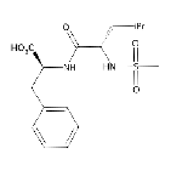 CC(C)C[C@H](NS(C)(=O)=O)C(=O)N[C@@H](Cc1ccccc1)C(=O)O